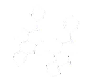 CN(C(=O)c1c(O)c2ccccc2n(C)c1=O)c1ccccc1.CN(C(=O)c1c(O)c2ccccc2n(C)c1=O)c1ccccc1